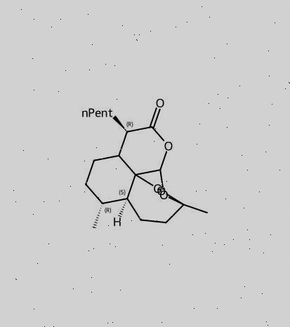 CCCCC[C@H]1C(=O)OC2OC3(C)CC[C@H]4[C@H](C)CCC1C24OO3